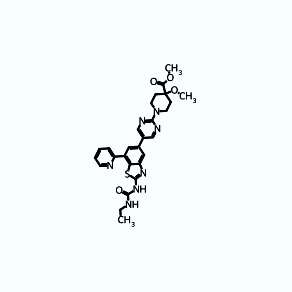 CCNC(=O)Nc1nc2cc(-c3cnc(N4CCC(OC)(C(=O)OC)CC4)nc3)cc(-c3ccccn3)c2s1